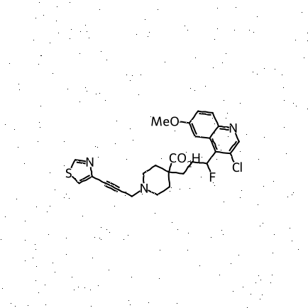 COc1ccc2ncc(Cl)c(C(F)CCC3(C(=O)O)CCN(CC#Cc4cscn4)CC3)c2c1